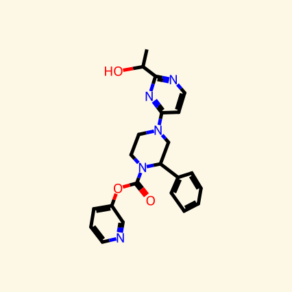 CC(O)c1nccc(N2CCN(C(=O)Oc3cccnc3)C(c3ccccc3)C2)n1